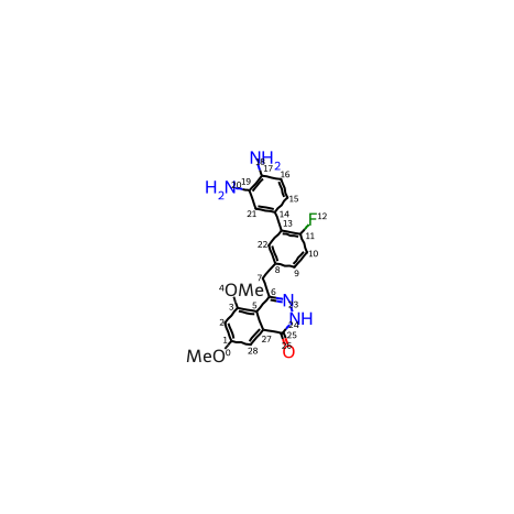 COc1cc(OC)c2c(Cc3ccc(F)c(-c4ccc(N)c(N)c4)c3)n[nH]c(=O)c2c1